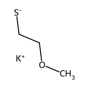 COCC[S-].[K+]